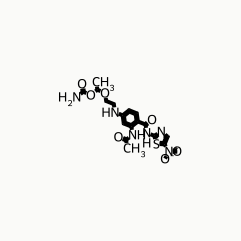 CC(=O)Nc1cc(NCCOC(C)OC(N)=O)ccc1C(=O)Nc1ncc([N+](=O)[O-])s1